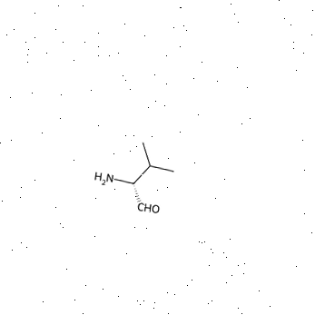 CC(C)[C@@H](N)C=O